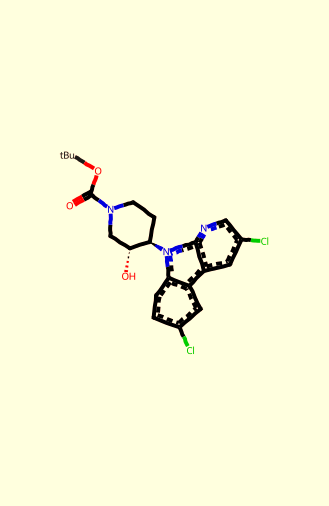 CC(C)(C)OC(=O)N1CC[C@@H](n2c3ccc(Cl)cc3c3cc(Cl)cnc32)[C@H](O)C1